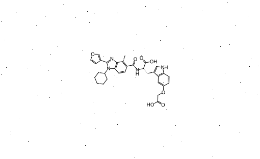 Cc1c(C(=O)N[C@@H](Cc2c[nH]c3ccc(OCC(=O)O)cc23)C(=O)O)ccc2c1nc(-c1ccoc1)n2C1CCCCC1